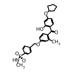 CNS(=O)(=O)c1ccc(COc2[c]c(C)c(C(=O)c3ccc(OC4CCCC4)cc3O)cc2)cc1